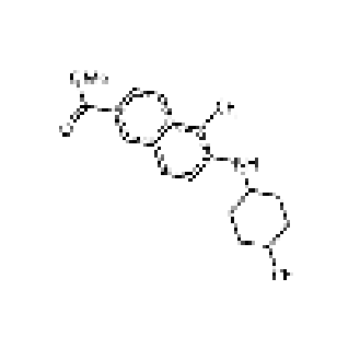 COC(=O)c1ccc2c(C(F)(F)F)c(NC3CCC(C(F)(F)F)CC3)ccc2c1